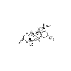 CC(C)N[C@@H]1C[C@H](C(F)(F)F)CC(CC(C)(C)N[C@H]2CC[C@H](C(F)(F)F)C[C@@H]2N(C)C)[C@H]1N(C)C